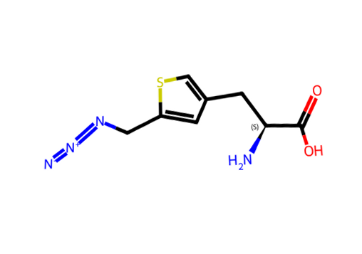 [N-]=[N+]=NCc1cc(C[C@H](N)C(=O)O)cs1